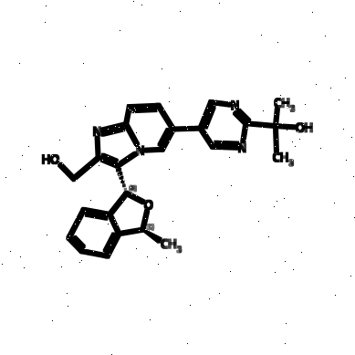 C[C@@H]1O[C@@H](c2c(CO)nc3ccc(-c4cnc(C(C)(C)O)nc4)cn23)c2ccccc21